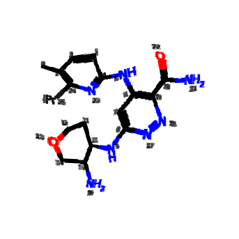 Cc1ccc(Nc2cc(N[C@@H]3CCOCC3N)nnc2C(N)=O)nc1C(C)C